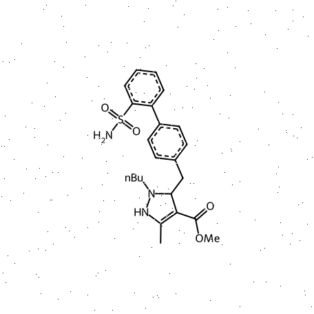 CCCCN1NC(C)=C(C(=O)OC)C1Cc1ccc(-c2ccccc2S(N)(=O)=O)cc1